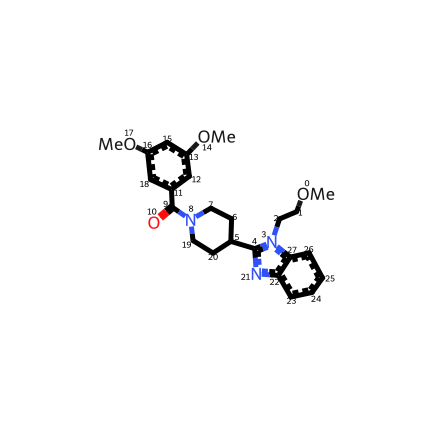 COCCn1c(C2CCN(C(=O)c3cc(OC)cc(OC)c3)CC2)nc2ccccc21